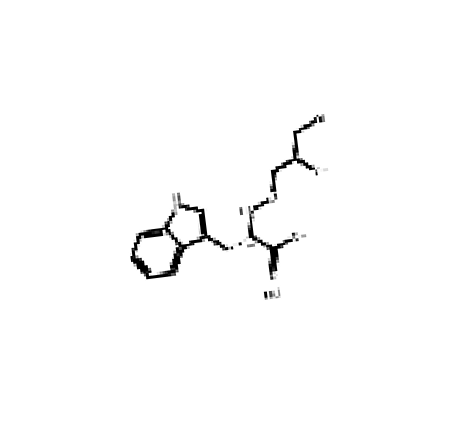 Cl.O=C(O)[C@H](Cc1c[nH]c2ccccc12)NOCC(O)CO